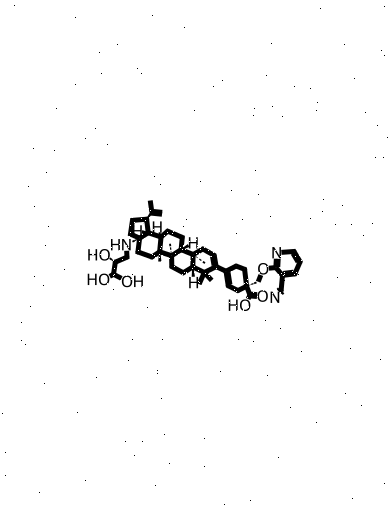 C=C(C)[C@@H]1CC[C@]2(NC[C@@H](O)C(O)O)CC[C@]3(C)[C@H](CC[C@@H]4[C@@]5(C)CC=C(C6=CC[C@](COc7ncccc7C#N)(C(=O)O)CC6)C(C)(C)[C@@H]5CC[C@]43C)[C@@H]12